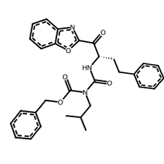 CC(C)CN(C(=O)N[C@@H](CCc1ccccc1)C(=O)c1nc2ccccc2o1)C(=O)OCc1ccccc1